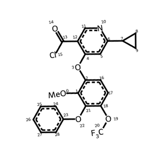 COc1c(Oc2cc(C3CC3)ncc2C(=O)Cl)ccc(OC(F)(F)F)c1Oc1ccccc1